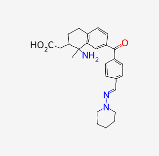 CC1(N)c2cc(C(=O)c3ccc(C=NN4CCCCC4)cc3)ccc2CCC1CC(=O)O